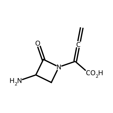 C=C=C(C(=O)O)N1CC(N)C1=O